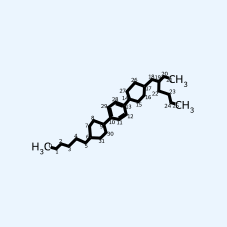 CCCCCCC1CCC(c2ccc(C3CCC(CC(CC)CCCC)CC3)cc2)CC1